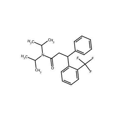 CC(C)N(C(=O)CC(c1ccccc1)c1ccccc1C(F)(F)F)C(C)C